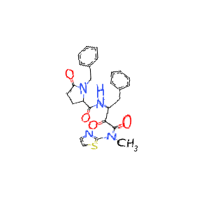 CN(C(=O)C(=O)C(Cc1ccccc1)NC(=O)C1CCC(=O)N1Cc1ccccc1)c1nccs1